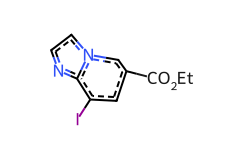 CCOC(=O)c1cc(I)c2nccn2c1